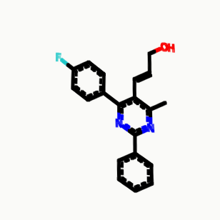 Cc1nc(-c2ccccc2)nc(-c2ccc(F)cc2)c1C=CCO